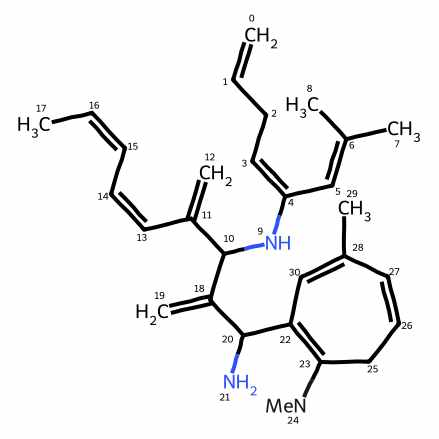 C=CC/C=C(\C=C(C)C)NC(C(=C)/C=C\C=C/C)C(=C)C(N)C1=C(NC)CC=CC(C)=C1